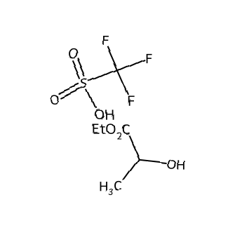 CCOC(=O)C(C)O.O=S(=O)(O)C(F)(F)F